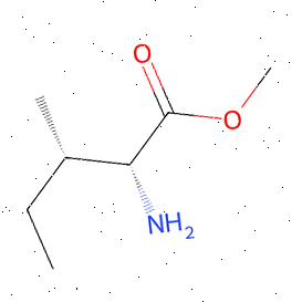 CC[C@H](C)[C@@H](N)C(=O)OC